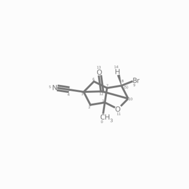 CC12CC3(C#N)CC1[C@H](Br)C(O2)C3=O